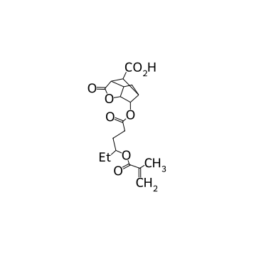 C=C(C)C(=O)OC(CC)CCC(=O)OC1C2CC3C1OC(=O)C3C2C(=O)O